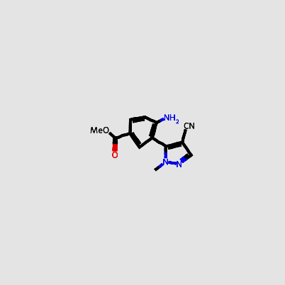 COC(=O)c1ccc(N)c(-c2c(C#N)cnn2C)c1